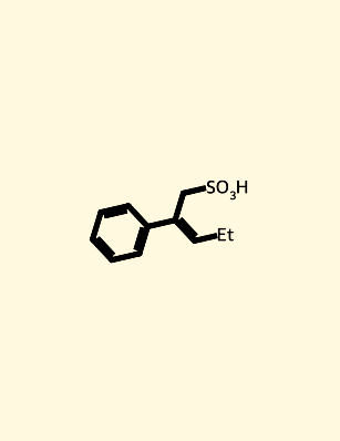 CCC=C(CS(=O)(=O)O)c1ccccc1